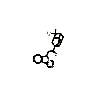 CC1(N)C2CC3CC1CC(C(=O)CC1c4ccccc4-c4cncn41)(C3)C2